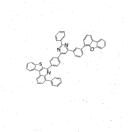 c1ccc(-c2nc(-c3ccc(-c4nc5c(-c6ccccc6)cccc5c5c4sc4ccccc45)cc3)cc(-c3cccc(-c4cccc5c4oc4ccccc45)c3)n2)cc1